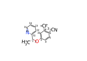 C[C@@H](Oc1ccc(C#N)c(C(F)(F)F)c1)c1ccccn1